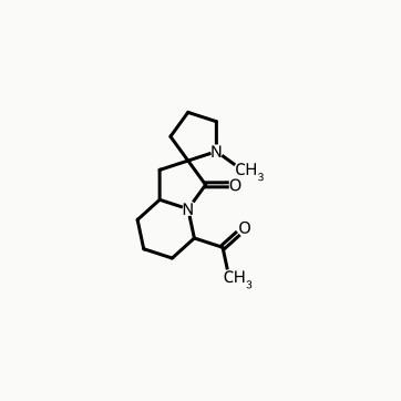 CC(=O)C1CCCC2CC3(CCCN3C)C(=O)N21